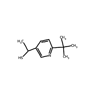 CC(S)c1ccc(C(C)(C)C)nc1